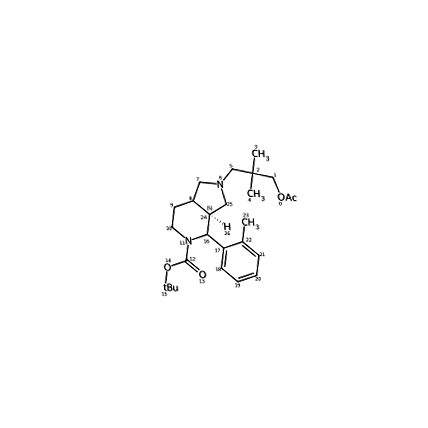 CC(=O)OCC(C)(C)CN1CC2CCN(C(=O)OC(C)(C)C)C(c3ccccc3C)[C@@H]2C1